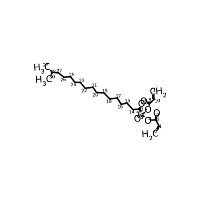 C=CC(=O)[O][Ti](=[O])([O]C(=O)C=C)[C](=O)CCCCCCCCCCCCCCC(C)C